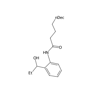 CCCCCCCCCCCCCC(=O)Nc1ccccc1C(O)CC